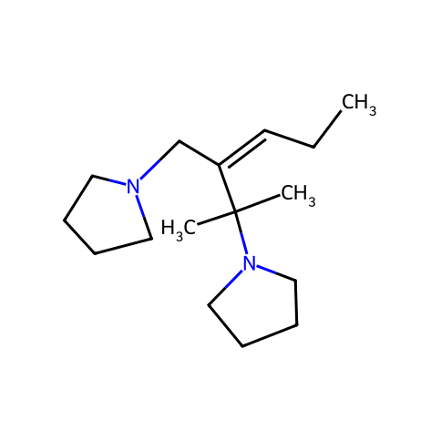 CCC=C(CN1CCCC1)C(C)(C)N1CCCC1